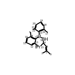 CC(C)=CC(BB(c1c(C)cccc1C)c1c(C)cccc1C)C(C)C